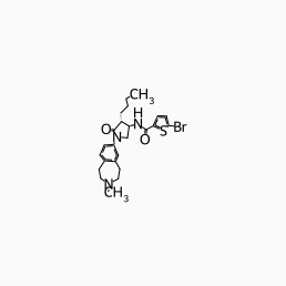 CCCC[C@H]1C(=O)N(c2ccc3c(c2)CCN(C)CC3)C[C@@H]1NC(=O)c1ccc(Br)s1